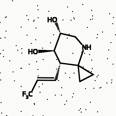 O[C@H]1[C@H](O)CNC2(CC2)[C@@H]1/C=C/C(F)(F)F